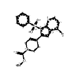 CC(C)(C)OC(=O)N1CC=C(c2cc3c(Br)ccnc3n2S(=O)(=O)c2ccccc2)CC1